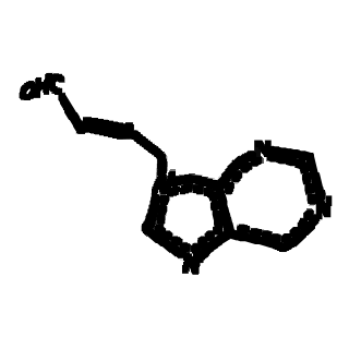 O=CC=Cn1cnc2cncnc21